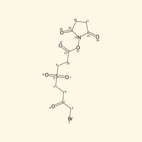 O=C(CBr)CCS(=O)(=O)CCC(=O)ON1C(=O)CCC1=O